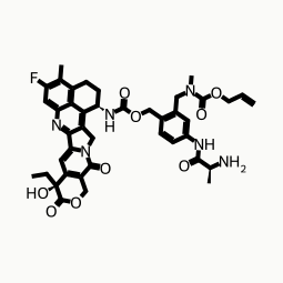 C=CCOC(=O)N(C)Cc1cc(NC(=O)[C@H](C)N)ccc1COC(=O)N[C@H]1CCc2c(C)c(F)cc3nc4c(c1c23)Cn1c-4cc2c(c1=O)COC(=O)[C@]2(O)CC